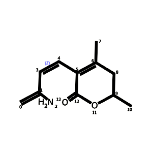 C=C(N)/C=C\C1=C(C)CC(C)OC1=O